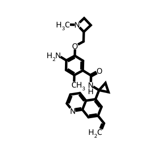 C=Cc1cc(C2(NC(=O)c3cc(OCC4CCN4C)c(N)cc3C)CC2)c2cccnc2c1